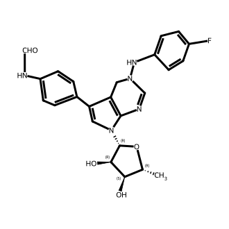 C[C@H]1O[C@@H](n2cc(-c3ccc(NC=O)cc3)c3c2N=CN(Nc2ccc(F)cc2)C3)[C@H](O)[C@@H]1O